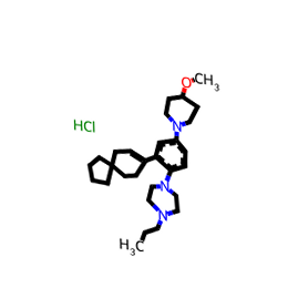 CCCN1CCN(c2ccc(N3CCC(OC)CC3)cc2C2=CCC3(CCCC3)CC2)CC1.Cl